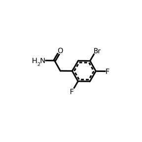 NC(=O)Cc1cc(Br)c(F)cc1F